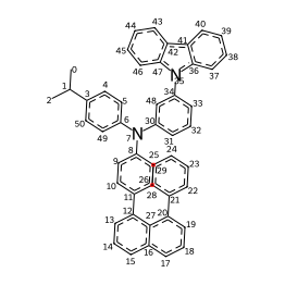 CC(C)c1ccc(N(c2ccc(-c3cccc4cccc(-c5ccccc5)c34)cc2)c2cccc(-n3c4ccccc4c4ccccc43)c2)cc1